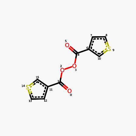 O=C(OOC(=O)c1ccsc1)c1ccsc1